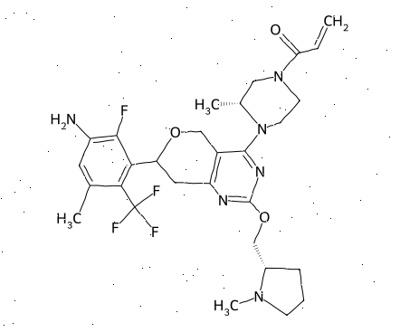 C=CC(=O)N1CCN(c2nc(OC[C@@H]3CCCN3C)nc3c2COC(c2c(F)c(N)cc(C)c2C(F)(F)F)C3)[C@H](C)C1